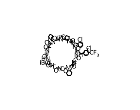 CC[C@H](C)[C@@H]1NC(=O)[C@H](C)N(C)C(=O)C[C@@H](C(=O)N2CCCC2)N(C)C(=O)[C@H](C(C)C)N(C)C(=O)C2(CCCC2)NC(=O)[C@H](Cc2ccccc2Cl)N(C)C(=O)[C@H](CCc2ccc(C(F)(F)F)c(Cl)c2)NC(=O)CN(C)C(=O)[C@H](CC2CCCCC2)N(C)C(=O)CN(C)C(=O)CN(C)C1=O